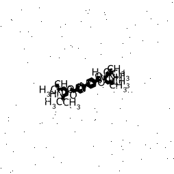 CC(C)C1CC(OC(=O)c2ccc(-c3ccc(C(=O)OC4CC(C)(C)NC(C)(C(C)C)C4)cc3)cc2)CC(C(C)C)N1